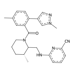 Cc1ccc(-c2cnn(C)c2)c(C(=O)N2CCC[C@@H](C)C2CNc2cccc(C#N)n2)c1